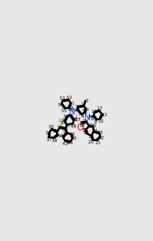 Cc1cc2c3c(c1)N(c1ccccc1)c1c(oc4cc5ccccc5cc14)B3C1=C(C=C3SC(c4ccccc4)=C(c4ccccc4)C3C1)N2c1ccccc1